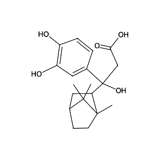 CC1(C)C2CCC1(C)C(C(O)(CC(=O)O)c1ccc(O)c(O)c1)C2